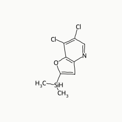 C[SiH](C)c1cc2ncc(Cl)c(Cl)c2o1